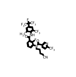 Cc1cc(C(F)(C(F)(F)F)C(F)(F)F)cc(C(F)(F)F)c1NC(=O)c1cccc(N(CCCCC#N)C(=O)c2ccc(C(F)(F)F)nc2)c1F